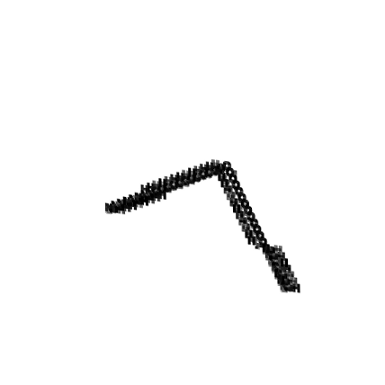 O.O.O.O.O.O.O.O.O.O.O.O.O.O.O.O.O.O.O.O.O.O.O.O.O.[NaH].[NaH].[NaH].[NaH].[NaH].[NaH].[NaH].[NaH].[NaH].[NaH].[NaH].[NaH].[NaH].[NaH].[NaH]